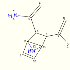 C=C(C)C1C(C(=C)N)C23C=CC12N3